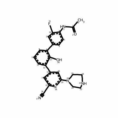 CC(=O)Nc1ccc(-c2cccc(-c3cc(C#N)nc(N4CCNCC4)c3)c2O)cc1F